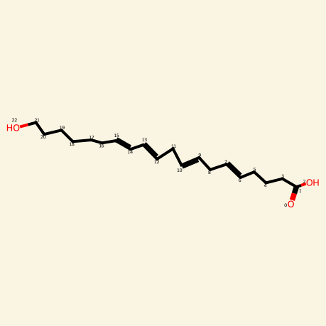 O=C(O)CCCC=CCC=CCC=CC=CCCCCCCO